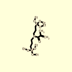 C=C(C)C(=O)N(CCC[Si](OCC)(OCC)OCC)CCC[Si](OCC)(OCC)OCC